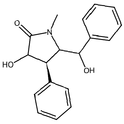 CN1C(=O)C(O)[C@H](c2ccccc2)C1C(O)c1ccccc1